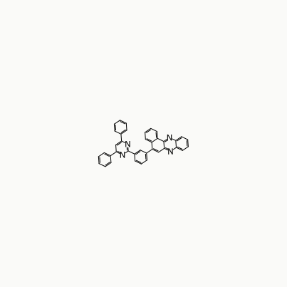 c1ccc(-c2cc(-c3ccccc3)nc(-c3cccc(-c4cc5nc6ccccc6nc5c5ccccc45)c3)n2)cc1